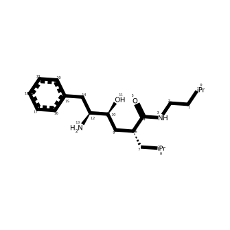 CC(C)CCNC(=O)[C@H](CC(C)C)C[C@H](O)[C@@H](N)Cc1ccccc1